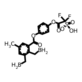 BCc1cc(C)cc(C(=O)Oc2ccc(OC(=O)C(F)(F)S(=O)(=O)O)cc2)c1CB